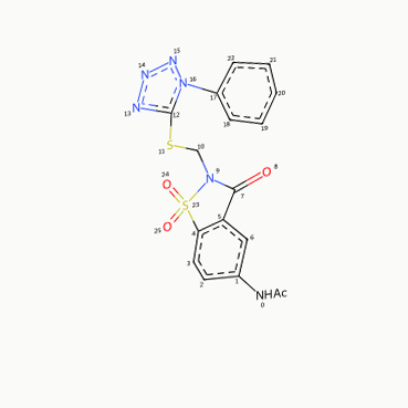 CC(=O)Nc1ccc2c(c1)C(=O)N(CSc1nnnn1-c1ccccc1)S2(=O)=O